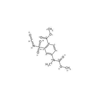 COC(=O)c1ccc(N(C)C(=O)OC)cc1S(=O)(=O)N=C=O